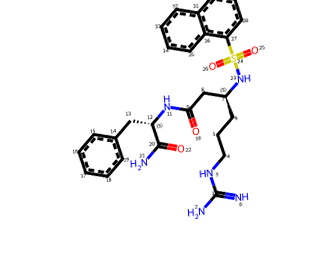 N=C(N)NCCC[C@@H](CC(=O)N[C@@H](Cc1ccccc1)C(N)=O)NS(=O)(=O)c1cccc2ccccc12